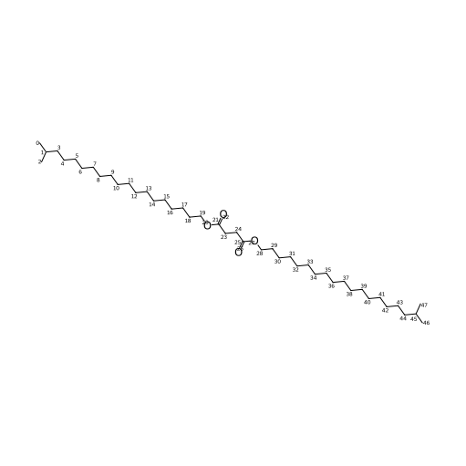 CC(C)CCCCCCCCCCCCCCCCCOC(=O)CCC(=O)OCCCCCCCCCCCCCCCCCC(C)C